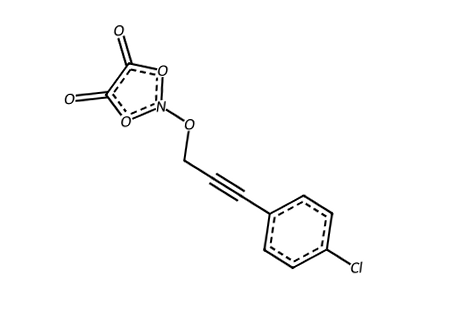 O=c1on(OCC#Cc2ccc(Cl)cc2)oc1=O